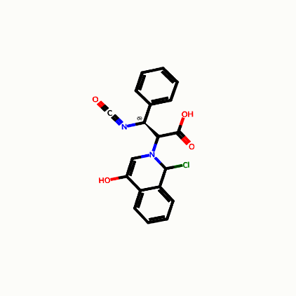 O=C=N[C@@H](c1ccccc1)C(C(=O)O)N1C=C(O)c2ccccc2C1Cl